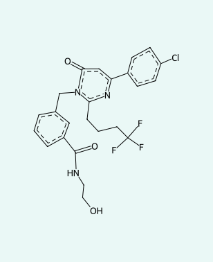 O=C(NCCO)c1cccc(Cn2c(CCCC(F)(F)F)nc(-c3ccc(Cl)cc3)cc2=O)c1